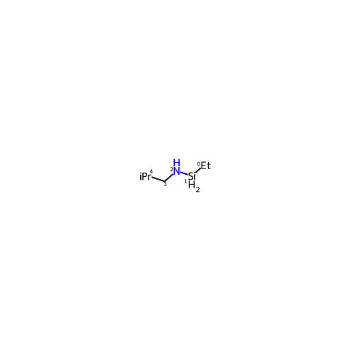 CC[SiH2]NCC(C)C